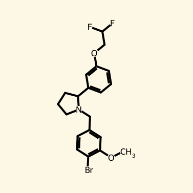 COc1cc(CN2CCCC2c2cccc(OCC(F)F)c2)ccc1Br